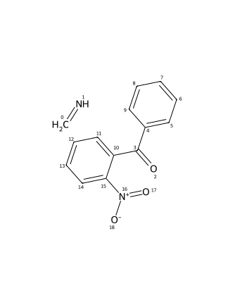 C=N.O=C(c1ccccc1)c1ccccc1[N+](=O)[O-]